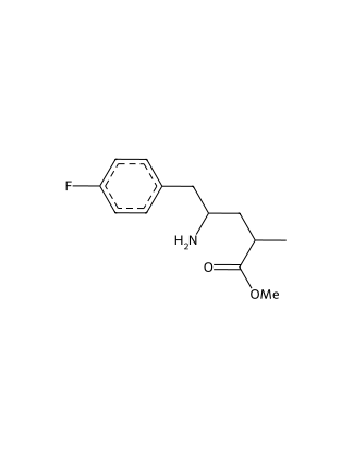 COC(=O)C(C)CC(N)Cc1ccc(F)cc1